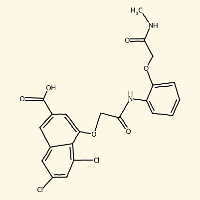 CNC(=O)COc1ccccc1NC(=O)COc1cc(C(=O)O)cc2cc(Cl)cc(Cl)c12